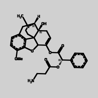 COc1ccc2c3c1OC1C(OC(=O)[C@@H](OC(=O)CCN)c4ccccc4)=CC[C@@]4(O)[C@@H](C2)N(C)CCC314